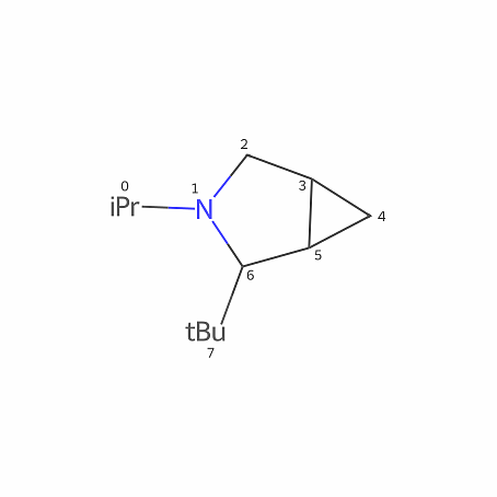 CC(C)N1CC2CC2C1C(C)(C)C